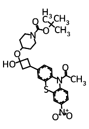 CC(=O)N1c2ccc(C3CC(O)(OC4CCN(C(=O)OC(C)(C)C)CC4)C3)cc2Sc2cc([N+](=O)[O-])ccc21